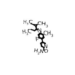 CCC/C(=N\c1cc(F)c(-c2ccc(C(N)=O)nc2)cc1C)C1C(CC)[C@@H]1C